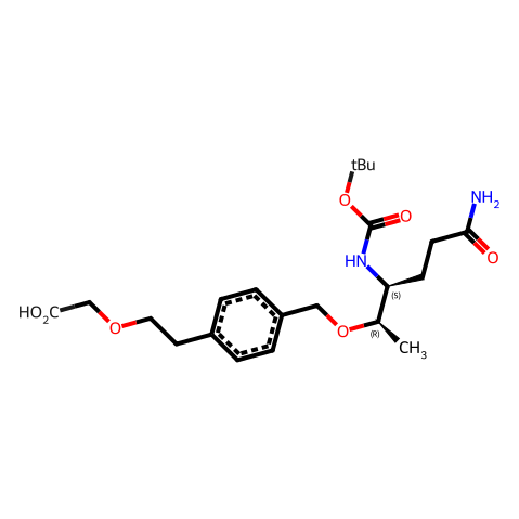 C[C@@H](OCc1ccc(CCOCC(=O)O)cc1)[C@H](CCC(N)=O)NC(=O)OC(C)(C)C